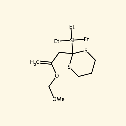 C=C(CC1([Si](CC)(CC)CC)SCCCS1)OCOC